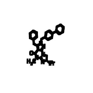 CC(C)[C@@H]1CN2C(=N1)N(C)C(=O)c1c2nn(Cc2ccc(C3=CC=CCC3)cc2)c1CC1=C=C=CC=C1